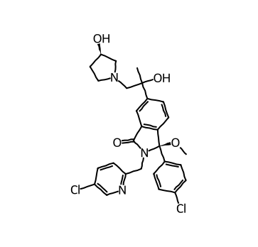 CO[C@]1(c2ccc(Cl)cc2)c2ccc(C(C)(O)CN3CC[C@@H](O)C3)cc2C(=O)N1Cc1ccc(Cl)cn1